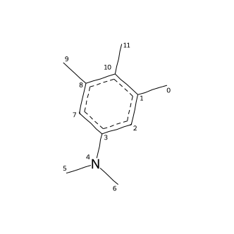 Cc1cc(N(C)C)cc(C)c1C